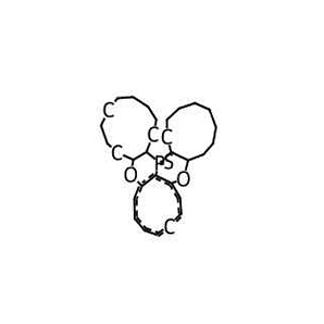 S=P12c3c(cccccccc3OC3CCCCCCCCC31)OC1CCCCCCCCCC12